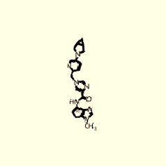 Cn1cnc2c1CC[C@H]2NC(=O)c1cn(Cc2ccc(N3CC4CC4C3)cn2)cn1